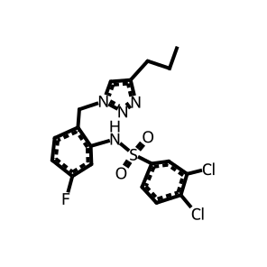 CCCc1cn(Cc2ccc(F)cc2NS(=O)(=O)c2ccc(Cl)c(Cl)c2)nn1